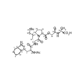 CC(=O)N[C@@H](Cc1c[nH]c2ccccc12)C(=O)N[C@H](CSSC(C)(C)C)C(=O)N1CCC[C@H]1C(=O)OCC(=O)N[C@@H](C)C(=O)O